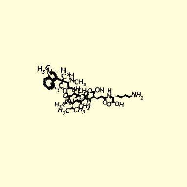 CN[C@H](C(=O)N[C@H](C(=O)N(C)[C@H](/C=C(\C)C(=O)N[C@H](CCC(=O)N[C@H](CCCCN)C(=O)O)C(=O)O)C(C)C)C(C)(C)C)C(C)(C)c1cn(C)c2ccccc12